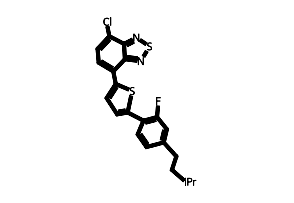 CC(C)CCc1ccc(-c2ccc(-c3ccc(Cl)c4nsnc34)s2)c(F)c1